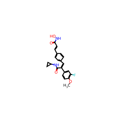 COc1ccc(C(=Cc2ccc(/C=C/C(=O)NO)cc2)C(=O)NC2CC2)cc1F